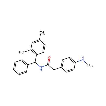 CNc1ccc(CC(=O)NC(c2ccccc2)c2ccc(C)cc2C)cc1